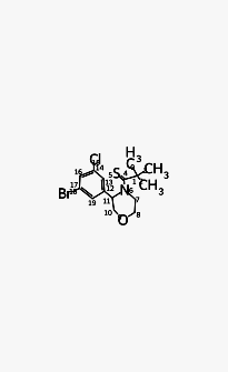 CC(C)(C)C(=S)N1CCOCC1c1cc(Cl)cc(Br)c1